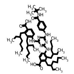 CCCCC(CC)Cc1c(Nc2nc(Nc3ccc(C(=O)NC(C)(C)C)cc3)nc(Nc3ccc(C(=O)O)c(CC(CC)CCCC)c3CC(CC)CCCC)n2)ccc(C(=O)O)c1CC(CC)CCCC